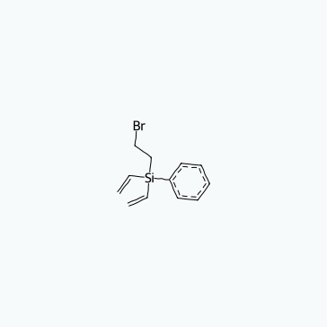 C=C[Si](C=C)(CCBr)c1ccccc1